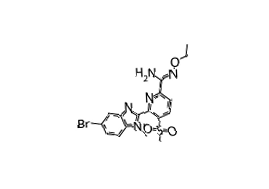 CCO/N=C(\N)c1ccc(S(C)(=O)=O)c(-c2nc3cc(Br)ccc3n2C)n1